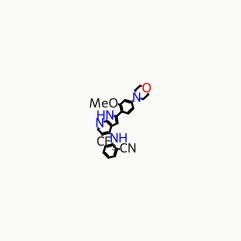 COc1cc(N2CCOCC2)ccc1-c1cc2c(Nc3ccccc3C#N)c(C(F)(F)F)cnc2[nH]1